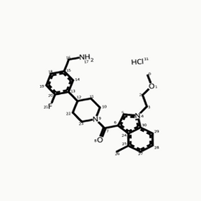 COCCn1cc(C(=O)N2CCC(c3cc(CN)ccc3F)CC2)c2c(C)cccc21.Cl